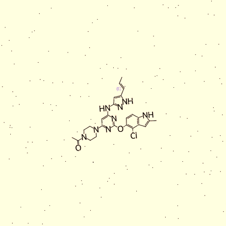 C/C=C/c1cc(Nc2cc(N3CCN(C(C)=O)CC3)nc(Oc3ccc4[nH]c(C)cc4c3Cl)n2)n[nH]1